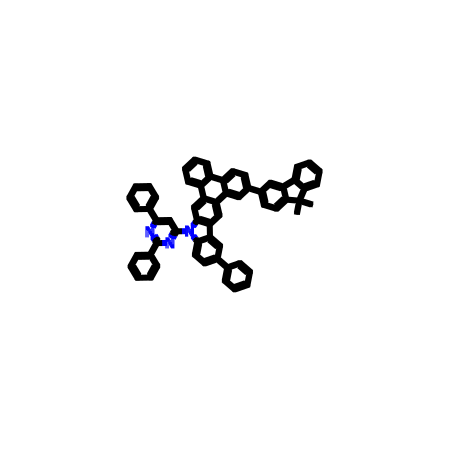 CC1(C)c2ccccc2-c2cc(-c3ccc4c5ccccc5c5cc6c(cc5c4c3)c3cc(-c4ccccc4)ccc3n6-c3cc(-c4ccccc4)nc(-c4ccccc4)n3)ccc21